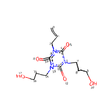 C=CCn1c(=O)n(CCCO)c(=O)n(CCCO)c1=O